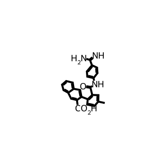 Cc1ccc(-c2cc3ccccc3cc2C(=O)O)c(C(=O)Nc2ccc(C(=N)N)cc2)c1